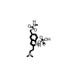 CNS(=O)(=O)Cc1ccc2[nH]c(CCN(C)C)cc2c1.O=S(=O)(O)O